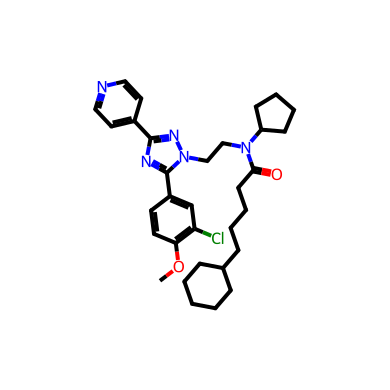 COc1ccc(-c2nc(-c3ccncc3)nn2CCN(C(=O)CCCCC2CCCCC2)C2CCCC2)cc1Cl